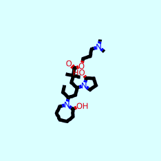 CCC(CC(CC(C)(C)C(=O)OCCCN(C)C)N1CCCC1O)N1CCCCCC1O